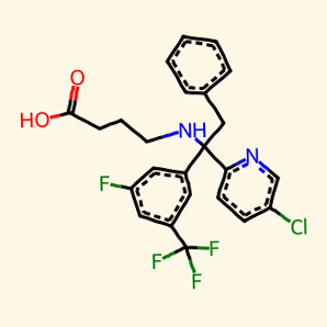 O=C(O)CCCNC(Cc1ccccc1)(c1cc(F)cc(C(F)(F)F)c1)c1ccc(Cl)cn1